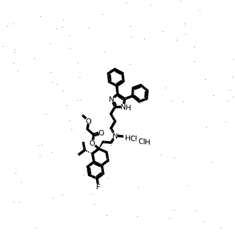 COCC(=O)O[C@]1(CCN(C)CCCc2nc(-c3ccccc3)c(-c3ccccc3)[nH]2)CCc2cc(F)ccc2[C@@H]1C(C)C.Cl.Cl